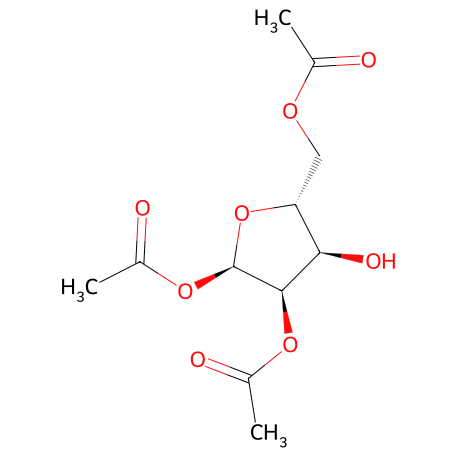 CC(=O)OC[C@H]1O[C@H](OC(C)=O)[C@H](OC(C)=O)[C@@H]1O